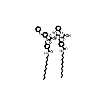 CCCCCCCCCCCCNC(=O)c1ccc(CN(C(=O)C(=O)O)[C@@H](Cc2ccccc2)C(=O)O)cc1.CCCCCCCCCCCCNC(=O)c1ccc(CN(C(=O)C(=O)O)c2cccc(Oc3ccccc3)c2)cc1